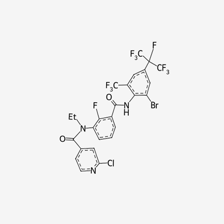 CCN(C(=O)c1ccnc(Cl)c1)c1cccc(C(=O)Nc2c(Br)cc(C(F)(C(F)(F)F)C(F)(F)F)cc2C(F)(F)F)c1F